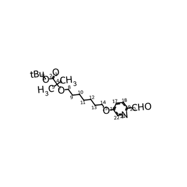 CC(C)(C)OC(=O)C(C)(C)OCCCCCCCOc1ccc(C=O)nc1